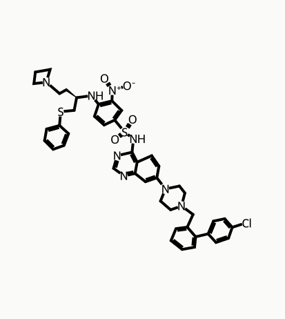 O=[N+]([O-])c1cc(S(=O)(=O)Nc2ncnc3cc(N4CCN(Cc5ccccc5-c5ccc(Cl)cc5)CC4)ccc23)ccc1N[C@H](CCN1CCC1)CSc1ccccc1